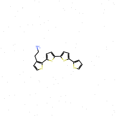 NCCc1ccsc1-c1ccc(-c2ccc(-c3cccs3)s2)s1